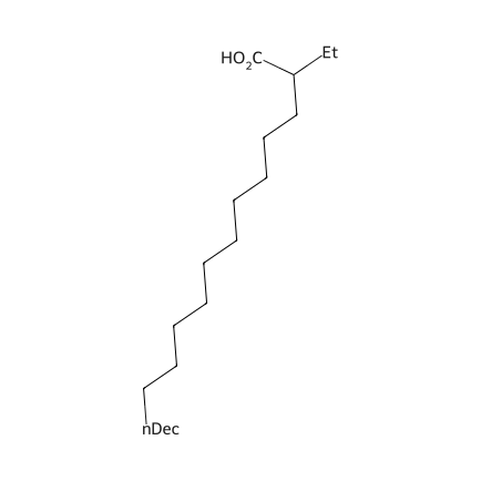 CCCCCCCCCCCCCCCCCCCCC(CC)C(=O)O